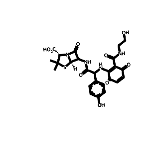 CC1(C)S[C@@H]2C(NC(=O)C(NC3=C(C(=O)NCCO)C(=O)C=CC3=O)c3ccc(O)cc3)C(=O)N2[C@H]1C(=O)O